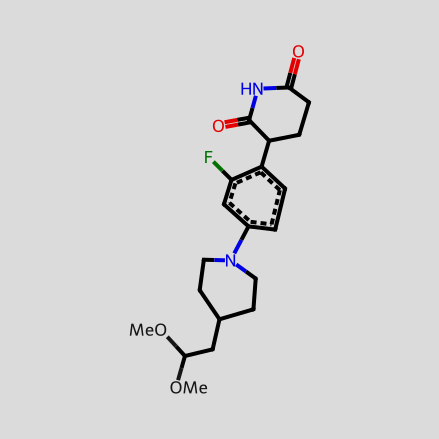 COC(CC1CCN(c2ccc(C3CCC(=O)NC3=O)c(F)c2)CC1)OC